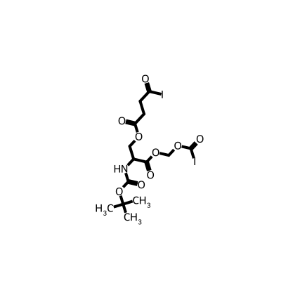 CC(C)(C)OC(=O)NC(COC(=O)CCC(=O)I)C(=O)OCOC(=O)I